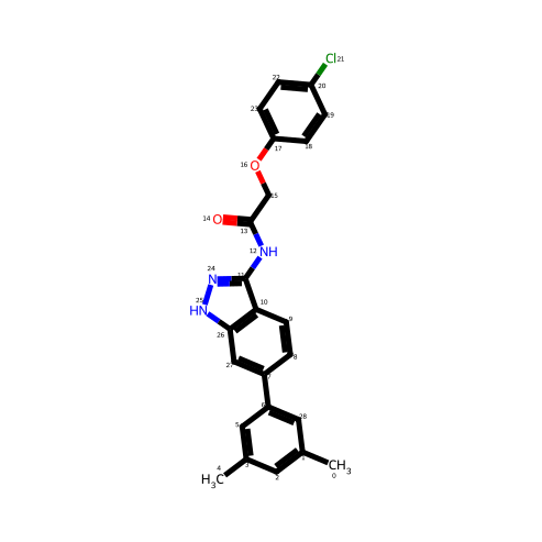 Cc1cc(C)cc(-c2ccc3c(NC(=O)COc4ccc(Cl)cc4)n[nH]c3c2)c1